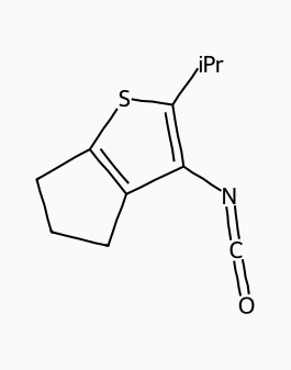 CC(C)c1sc2c(c1N=C=O)CCC2